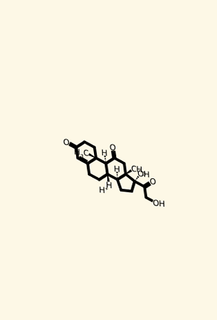 C[C@]12CCC(=O)C=C1CC[C@@H]1[C@@H]2C(=O)C[C@@]2(C)[C@H]1CC[C@]2(O)C(=O)CO.[H+]